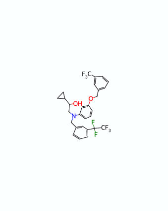 OC(CN(Cc1cccc(C(F)(F)C(F)(F)F)c1)c1cccc(OCc2cccc(C(F)(F)F)c2)c1)C1CC1